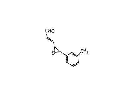 Cc1cccc([C@H]2O[C@@H]2/C=C/C=O)c1